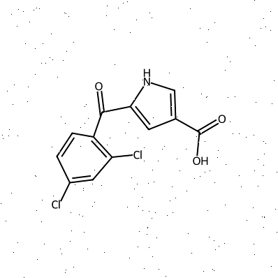 O=C(O)c1c[nH]c(C(=O)c2ccc(Cl)cc2Cl)c1